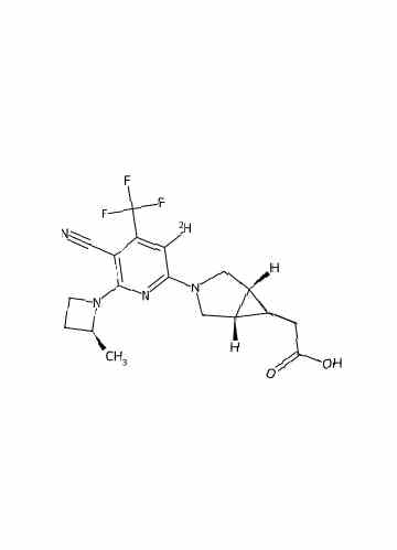 [2H]c1c(N2C[C@@H]3C(CC(=O)O)[C@@H]3C2)nc(N2CC[C@@H]2C)c(C#N)c1C(F)(F)F